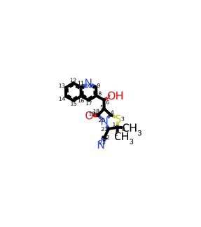 CC1(C)SC2C(C(O)c3cnc4ccccc4c3)C(=O)N2C1C#N